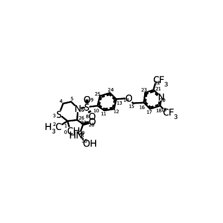 CC1(C)SCCN(S(=O)(=O)c2ccc(OCc3cc(C(F)(F)F)nc(C(F)(F)F)c3)cc2)C1C(=O)NO